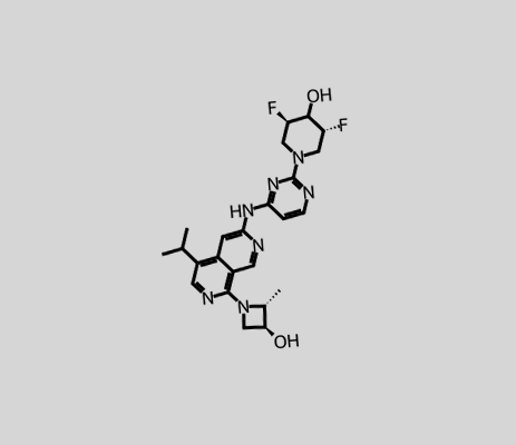 CC(C)c1cnc(N2C[C@H](O)[C@H]2C)c2cnc(Nc3ccnc(N4C[C@@H](F)C(O)[C@H](F)C4)n3)cc12